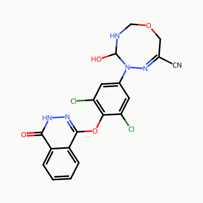 N#C/C1=N/N(c2cc(Cl)c(Oc3n[nH]c(=O)c4ccccc34)c(Cl)c2)C(O)NCOC1